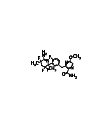 COc1cnc(C(N)=O)c(Cc2ccc(F)c(C3(C)N=C(N)C(C)(F)CC3(F)F)c2)n1